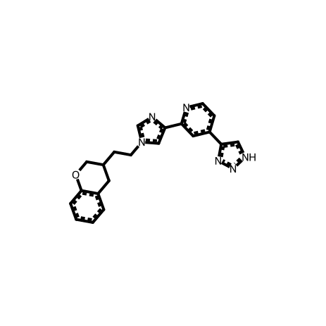 c1ccc2c(c1)CC(CCn1cnc(-c3cc(-c4c[nH]nn4)ccn3)c1)CO2